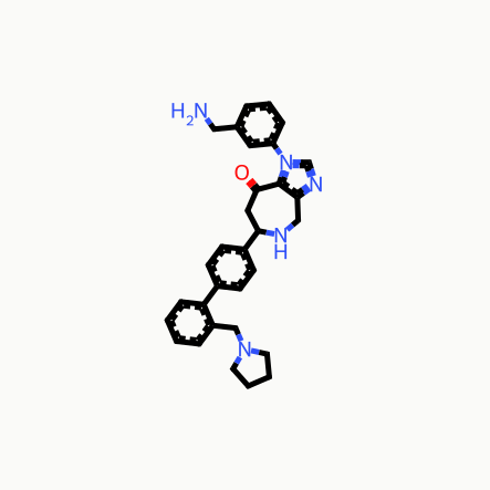 NCc1cccc(-n2cnc3c2C(=O)CC(c2ccc(-c4ccccc4CN4CCCC4)cc2)NC3)c1